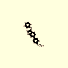 CCCCCCCCc1ccc(-c2ccc3c(Oc4ccccc4)csc3c2)cc1